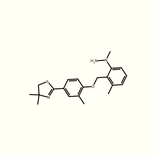 Cc1cc(C2=NC(C)(C)CS2)ccc1OCc1c(C)cccc1N(C)N